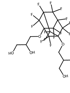 OCC(O)COC12C(F)(F)C3(F)C(F)(F)C(F)(C1(F)F)C(F)(F)C(OCC(O)CO)(C3(F)F)C2(F)F